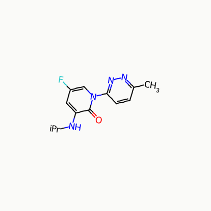 Cc1ccc(-n2cc(F)cc(NC(C)C)c2=O)nn1